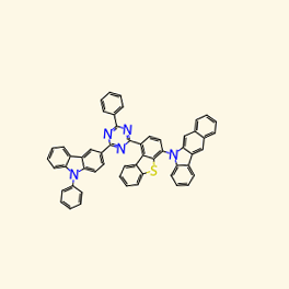 c1ccc(-c2nc(-c3ccc4c(c3)c3ccccc3n4-c3ccccc3)nc(-c3ccc(-n4c5ccccc5c5cc6ccccc6cc54)c4sc5ccccc5c34)n2)cc1